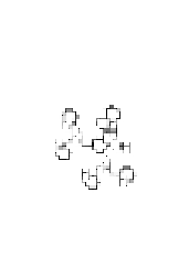 Oc1c(CN(Cc2ccccn2)Cc2ccccn2)cc(CN(Cc2ccccn2)Cc2ccccn2)cc1-c1nc2ccccc2o1